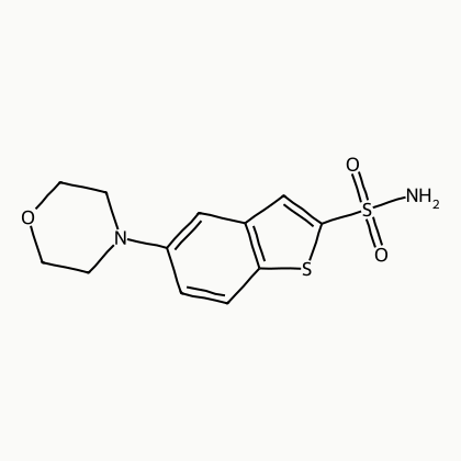 NS(=O)(=O)c1cc2cc(N3CCOCC3)ccc2s1